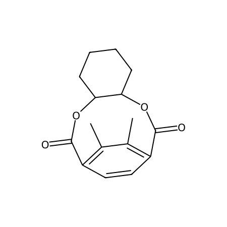 Cc1c2ccc(c1C)C(=O)OC1CCCCC1OC2=O